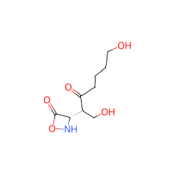 O=C(CCCCO)C(CO)[C@@H]1NOC1=O